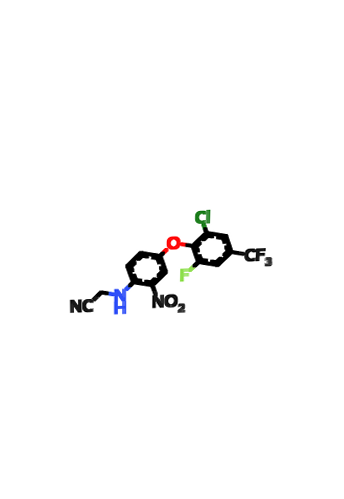 N#CCNc1ccc(Oc2c(F)cc(C(F)(F)F)cc2Cl)cc1[N+](=O)[O-]